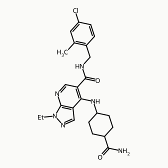 CCn1ncc2c(NC3CCC(C(N)=O)CC3)c(C(=O)NCc3ccc(Cl)cc3C)cnc21